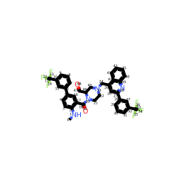 CNc1ccc(-c2cccc(C(F)(F)F)c2)cc1C(=O)N1CCN(Cc2cc(-c3cccc(C(F)(F)F)c3)nc3ccccc23)CC1C=O